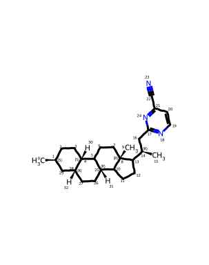 C[C@H]1CC[C@@H]2C3CC[C@@]4(C)C(CCC4[C@H](C)Cc4nccc(C#N)n4)[C@@H]3CC[C@@H]2C1